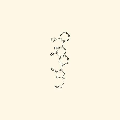 COC[C@H]1CN(c2ccc3cc(-c4ccccc4C(F)(F)F)[nH]c(=O)c3c2)C(=O)O1